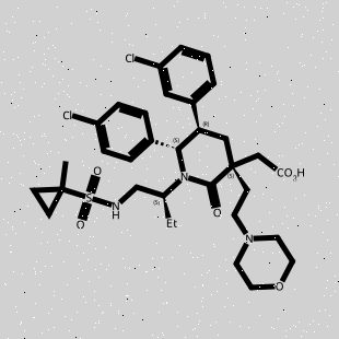 CC[C@@H](CNS(=O)(=O)C1(C)CC1)N1C(=O)[C@@](CCN2CCOCC2)(CC(=O)O)C[C@H](c2cccc(Cl)c2)[C@H]1c1ccc(Cl)cc1